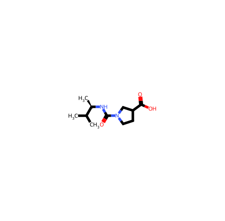 CC(C)[C@@H](C)NC(=O)N1CCC(C(=O)O)C1